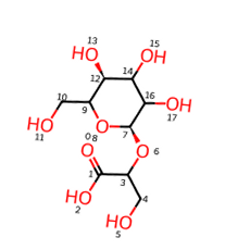 O=C(O)C(CO)O[C@H]1OC(CO)[C@@H](O)C(O)C1O